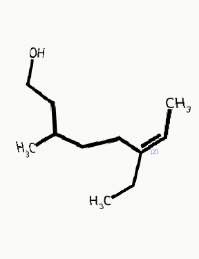 C/C=C(/CC)CCC(C)CCO